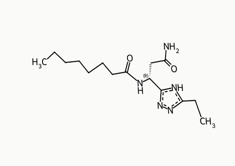 CCCCCCCC(=O)N[C@H](CC(N)=O)c1nnc(CC)[nH]1